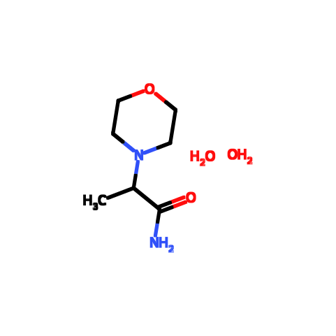 CC(C(N)=O)N1CCOCC1.O.O